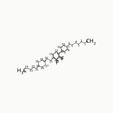 CCCCCCCc1ccc(-c2ccc(CCC3CCC(CCCCC)CC3)c(F)c2F)cc1